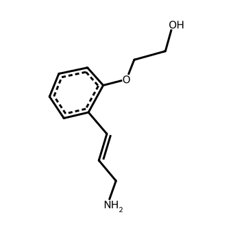 NC/C=C/c1ccccc1OCCO